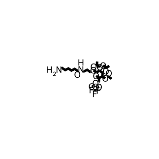 CC(=O)OC1C(COS(=O)(=O)C(F)(F)F)OC(OCCCNC(=O)CCCCCN)C(OC(C)=O)C1OC(C)=O